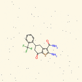 NC(=O)c1c(N)sc2c1CC(c1ccccc1C(F)(F)F)CC2=O